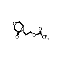 O=C1COCCN1CCOC(=O)C(F)(F)F